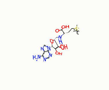 C[S+]([14CH3])CC[C@H](NC[C@H]1O[C@@H](n2cnc3c(N)ncnc32)[C@H](O)[C@@H]1O)C(=O)O